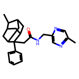 Cc1cnc(CNC(=O)CC2(c3ccccc3)C3CC4CC2CC(C3)C4C)cn1